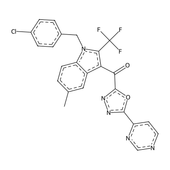 Cc1ccc2c(c1)c(C(=O)c1nnc(-c3ccncn3)o1)c(C(F)(F)F)n2Cc1ccc(Cl)cc1